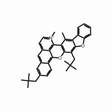 Cc1c2c(c(CC(C)(C)C)c3oc4ccccc4c13)Oc1c3ccc(CC(C)(C)C)cc3cc3cc[n+](C)c-2c13